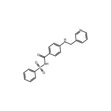 O=C(NS(=O)(=O)c1ccccc1)c1ccc(NCc2cccnc2)cc1